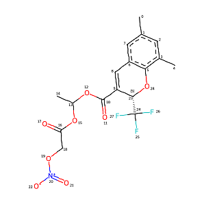 Cc1cc(C)c2c(c1)C=C(C(=O)OC(C)OC(=O)CO[N+](=O)[O-])[C@@H](C(F)(F)F)O2